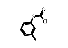 Cc1cccc(SC(=O)Cl)c1